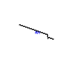 CCCCCCCCCCCCCCCCC(CCCCCCCC/C=C\CC(C)CCCCC)NC